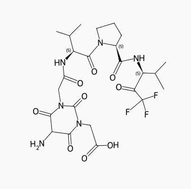 CC(C)[C@H](NC(=O)CN1C(=O)C(N)C(=O)N(CC(=O)O)C1=O)C(=O)N1CCC[C@H]1C(=O)N[C@H](C(=O)C(F)(F)F)C(C)C